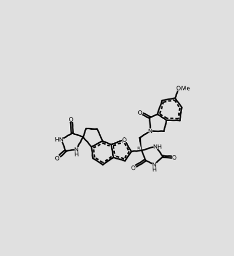 COc1ccc2c(c1)C(=O)N(C[C@@]1(c3cc4ccc5c(c4o3)CCC53NC(=O)NC3=O)NC(=O)NC1=O)C2